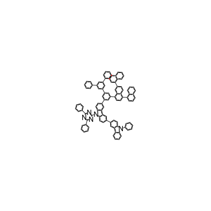 c1ccc(-c2cc(-c3ccccc3)cc(-c3cc(-c4ccc5c(c4)c4cc(-c6ccc7c(c6)c6ccccc6n7-c6ccccc6)ccc4n5-c4nc(-c5ccccc5)nc(-c5ccccc5)n4)cc(-c4ccc(-c5cccc6ccccc56)c5ccc(-c6cccc7ccccc67)cc45)c3)c2)cc1